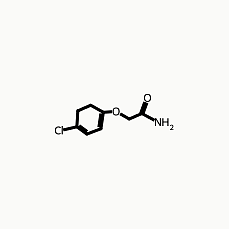 NC(=O)COC1=CC=C(Cl)CC1